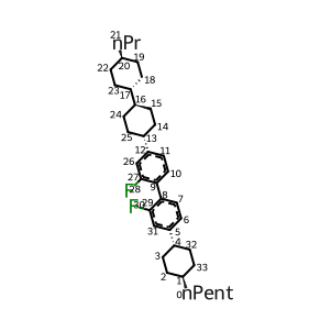 CCCCC[C@H]1CC[C@H](c2ccc(-c3ccc([C@H]4CC[C@H]([C@H]5CC[C@H](CCC)CC5)CC4)cc3F)c(F)c2)CC1